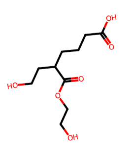 O=C(O)CCCC(CCO)C(=O)OCCO